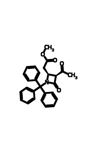 COC(=O)C[C@H]1[C@@H](C(C)=O)C(=O)N1C(c1ccccc1)(c1ccccc1)c1ccccc1